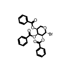 O=C(O[C@@H]1[C@@H](OC(=O)c2ccccc2)[C@@H](Br)OC[C@@H]1OC(=O)c1ccccc1)c1ccccc1